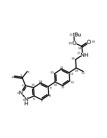 C=C(C)c1n[nH]c2ccc(-c3ccc(C(C)CNC(=O)OC(C)(C)C)cc3)cc12